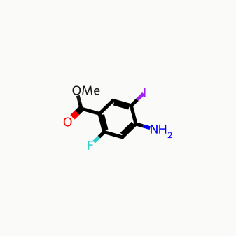 COC(=O)c1cc(I)c(N)cc1F